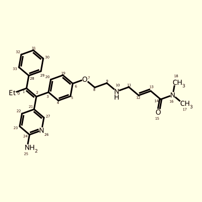 CCC(=C(c1ccc(OCCNCC=CC(=O)N(C)C)cc1)c1ccc(N)nc1)c1ccccc1